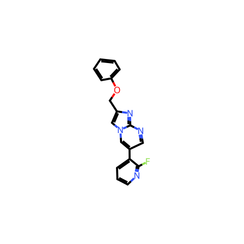 Fc1ncccc1-c1cnc2nc(COc3ccccc3)cn2c1